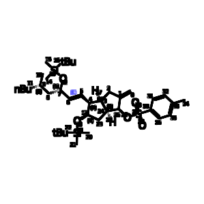 C=C1C[C@@H]2[C@H](/C=C/[C@H](C[C@@H](C)CCCC)O[Si](C)(C)C(C)(C)C)[C@H](O[Si](C)(C)C(C)(C)C)C[C@@H]2C1OS(=O)(=O)c1ccc(C)cc1